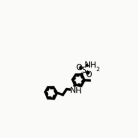 Cc1cc(NCCc2ccccc2)ccc1S(N)(=O)=O